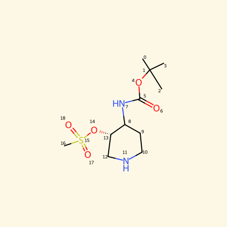 CC(C)(C)OC(=O)NC1CCNC[C@@H]1OS(C)(=O)=O